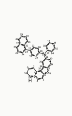 C1=Cc2c(ccc3sc4ccc(N(c5ccccc5)c5ccc(-c6cccc7ccccc67)cc5)cc4c23)NC1